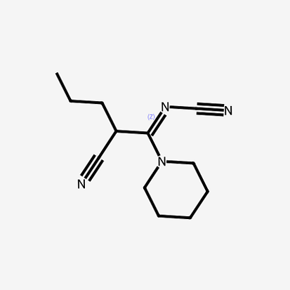 CCCC(C#N)/C(=N/C#N)N1CCCCC1